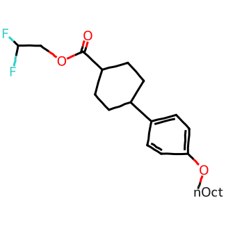 CCCCCCCCOc1ccc(C2CCC(C(=O)OCC(F)F)CC2)cc1